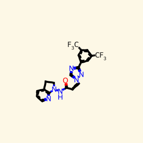 O=C(/C=C\n1cnc(-c2cc(C(F)(F)F)cc(C(F)(F)F)c2)n1)NN1CCc2cccnc21